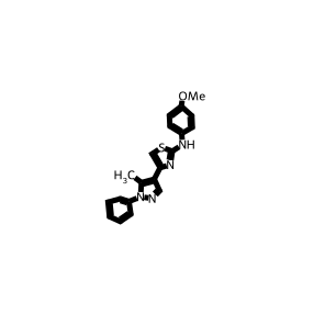 COc1ccc(Nc2nc(-c3cnn(-c4ccccc4)c3C)cs2)cc1